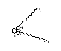 CCCCCCCCCCCCCCC1(C(=O)O)CC=CCC1(CCCCCCCCCCCCCC)C(=O)O